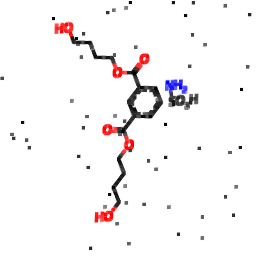 NS(=O)(=O)O.O=C(OCCCCO)c1cccc(C(=O)OCCCCO)c1